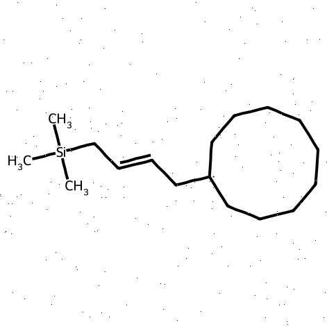 C[Si](C)(C)CC=CC[C]1CCCCCCCCC1